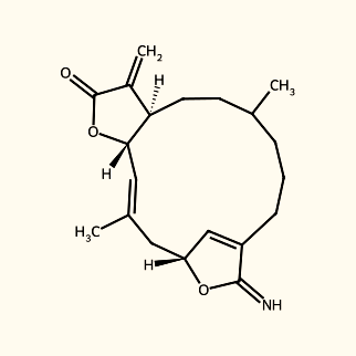 C=C1C(=O)O[C@H]2/C=C(\C)C[C@@H]3C=C(CCCC(C)CC[C@H]12)C(=N)O3